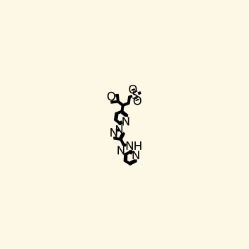 CS(=O)(=O)CCC(c1ccc(-n2cc(-c3nc4cccnc4[nH]3)cn2)nc1)C1COC1